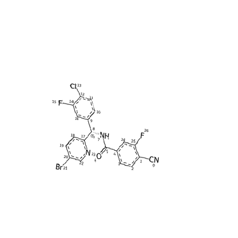 N#Cc1ccc(C(=O)N[C@@H](c2ccc(Cl)c(F)c2)c2ccc(Br)cn2)cc1F